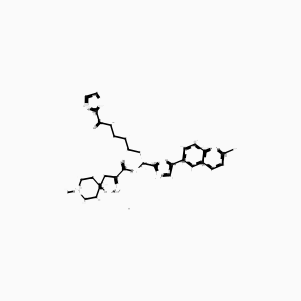 Cc1ccc2cc(-c3cnc([C@H](CCCCCC(=O)c4ncco4)NC(=O)C4=NOC5(CCN(C)CC5)C4)o3)ccc2n1.Cl